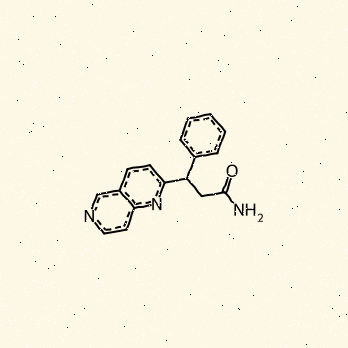 NC(=O)CC(c1ccccc1)c1ccc2cnccc2n1